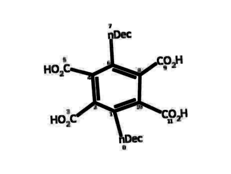 CCCCCCCCCCc1c(C(=O)O)c(C(=O)O)c(CCCCCCCCCC)c(C(=O)O)c1C(=O)O